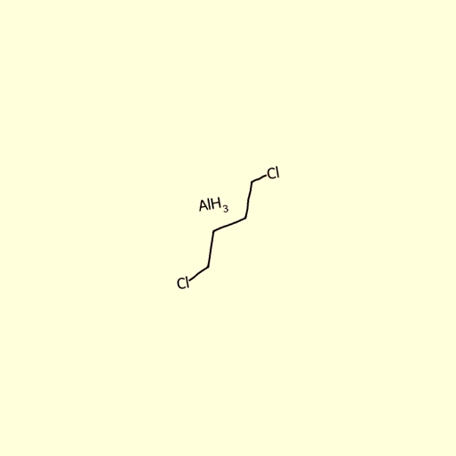 ClCCCCCl.[AlH3]